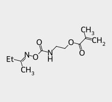 C=C(C)C(=O)OCCNC(=O)ON=C(C)CC